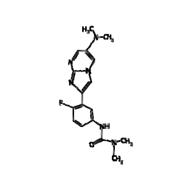 CN(C)C(=O)Nc1ccc(F)c(-c2cn3cc(N(C)C)cnc3n2)c1